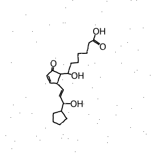 O=C(O)CCCCCC(O)C1C(=O)C=CC1C=CC(O)C1CCCC1